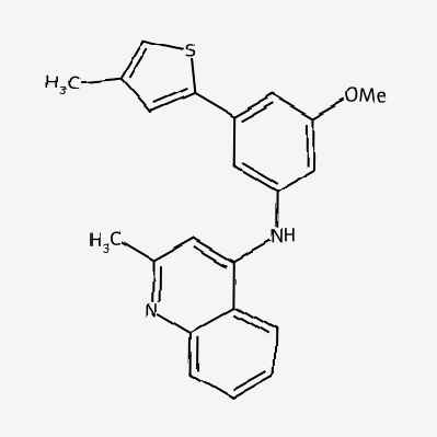 COc1cc(Nc2cc(C)nc3ccccc23)cc(-c2cc(C)cs2)c1